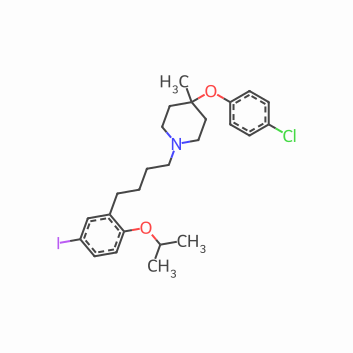 CC(C)Oc1ccc(I)cc1CCCCN1CCC(C)(Oc2ccc(Cl)cc2)CC1